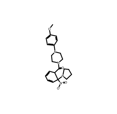 COc1ccc(N2CCN(C(=O)C3C=CC=CC3(N3CCCC3)[N+](=O)[O-])CC2)cc1